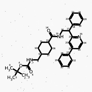 CC(C)(C)OC(=O)NCC1CCC(C(=O)NCC(c2ccccc2)c2cc(-c3ccccc3)ccn2)CC1